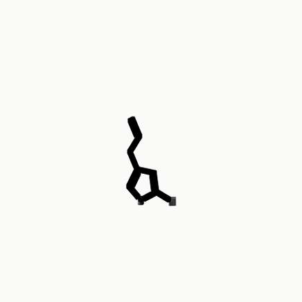 [Li][c]1cc(CC=C)cs1